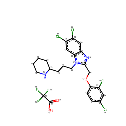 Clc1ccc(OCc2nc3cc(Cl)c(Cl)cc3n2CCCC2CCCCN2)c(Cl)c1.O=C(O)C(F)(F)F